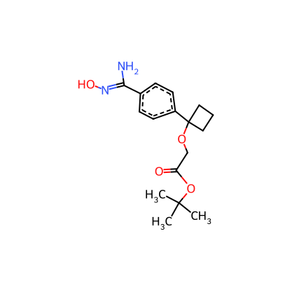 CC(C)(C)OC(=O)COC1(c2ccc(/C(N)=N/O)cc2)CCC1